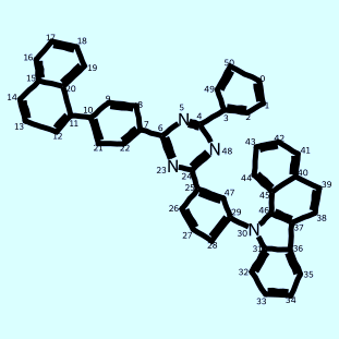 c1ccc(-c2nc(-c3ccc(-c4cccc5ccccc45)cc3)nc(-c3cccc(-n4c5ccccc5c5ccc6ccccc6c54)c3)n2)cc1